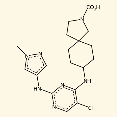 Cn1cc(Nc2ncc(Cl)c(NC3CCC4(CC3)CCN(C(=O)O)C4)n2)cn1